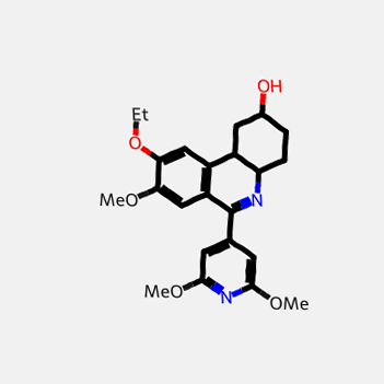 CCOc1cc2c(cc1OC)C(c1cc(OC)nc(OC)c1)=NC1CCC(O)CC21